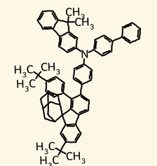 CC(C)(C)c1ccc(-c2c(-c3ccc(N(c4ccc(-c5ccccc5)cc4)c4ccc5c(c4)C(C)(C)c4ccccc4-5)cc3)ccc3c2C2(c4cc(C(C)(C)C)ccc4-3)C3CC4CC(C3)CC2C4)cc1